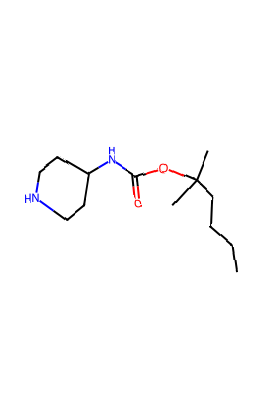 CCCCC(C)(C)OC(=O)NC1CCNCC1